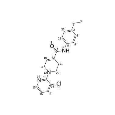 CCc1ccc(NC(=O)C2=CCN(c3ncccc3Cl)CC2)cc1